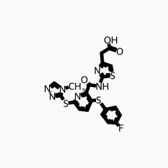 Cn1cnnc1Sc1ccc(Sc2ccc(F)cc2)c(C(=O)Nc2nc(CC(=O)O)cs2)n1